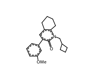 COc1cccc(-c2cc3c(n(CC4CCC4)c2=O)CCCC3)c1